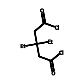 CCC(CC)(CC(=O)Cl)CC(=O)Cl